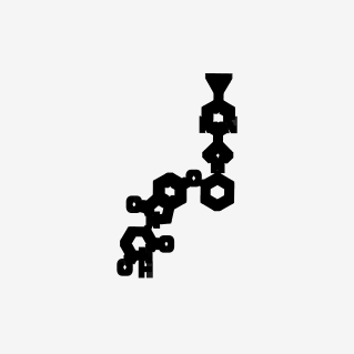 O=C1CC[C@H](N2Cc3cc(O[C@H]4CCCC[C@H]4N4CC(c5ncc(C6CC6)cn5)C4)ccc3C2=O)C(=O)N1